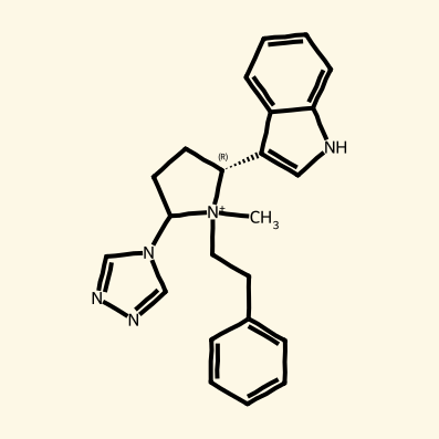 C[N+]1(CCc2ccccc2)C(n2cnnc2)CC[C@@H]1c1c[nH]c2ccccc12